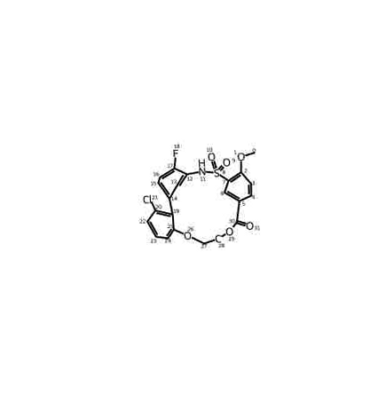 COc1ccc2cc1S(=O)(=O)Nc1cc(ccc1F)-c1c(Cl)cccc1OCCOC2=O